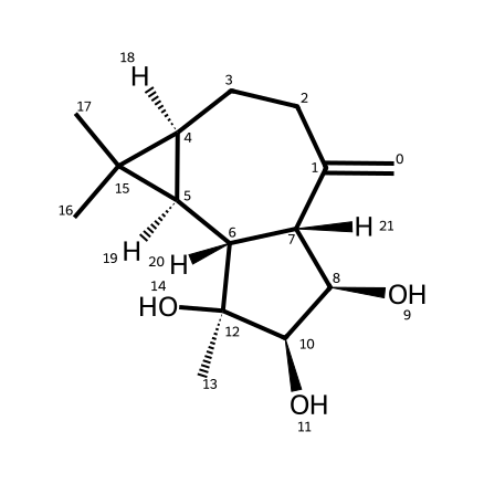 C=C1CC[C@H]2[C@@H]([C@@H]3[C@H]1[C@@H](O)[C@@H](O)[C@@]3(C)O)C2(C)C